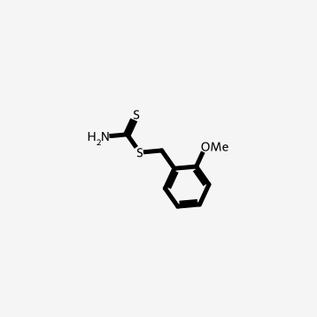 COc1ccccc1CSC(N)=S